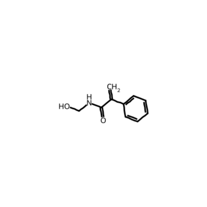 C=C(C(=O)NCO)c1ccccc1